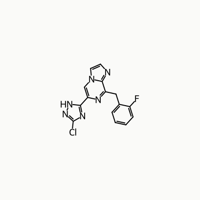 Fc1ccccc1Cc1nc(-c2nc(Cl)n[nH]2)cn2ccnc12